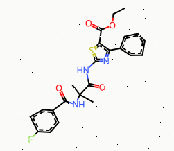 CCOC(=O)c1sc(NC(=O)C(C)(C)NC(=O)c2ccc(F)cc2)nc1-c1ccccc1